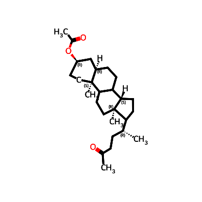 CC(=O)CC[C@@H](C)C1CC[C@H]2C3CC[C@@H]4C[C@H](OC(C)=O)CC[C@]4(C)C3CC[C@]12C